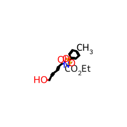 CCOC(=O)N(C(O)C#CC#CCO)S(=O)(=O)c1ccc(C)cc1